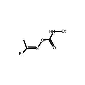 CCNC(=O)O/N=C(\C)CC